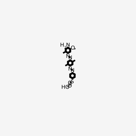 COc1cc(N=Nc2cc(C)c(N=Nc3ccc(SOOO)cc3)cc2C)c(C)cc1N